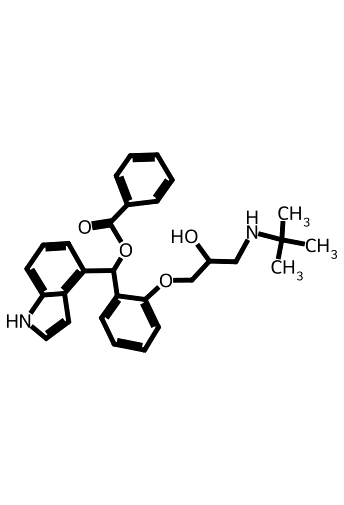 CC(C)(C)NCC(O)COc1ccccc1C(OC(=O)c1ccccc1)c1cccc2[nH]ccc12